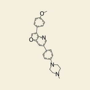 COc1ccc(-c2coc3cc(-c4ccc(N5CCN(C)CC5)cc4)cnc23)cc1